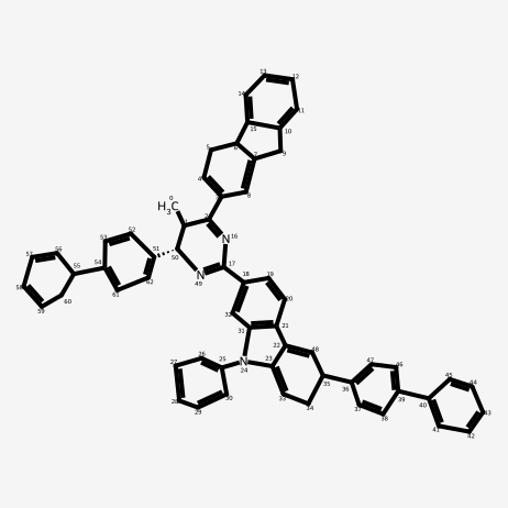 CC1C(C2=CCC3C(=C2)Cc2ccccc23)=NC(c2ccc3c4c(n(-c5ccccc5)c3c2)=CCC(c2ccc(-c3ccccc3)cc2)C=4)=N[C@@H]1c1ccc(C2C=CC=CC2)cc1